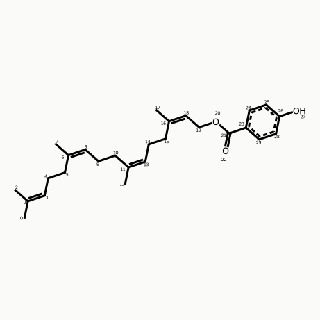 CC(C)=CCCC(C)=CCCC(C)=CCCC(C)=CCOC(=O)c1ccc(O)cc1